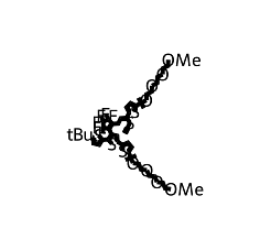 C#CS/C(=C\CC1=C(c2cc(-c3ccc(C(C)(C)OCCOCCOCCOC)s3)sc2-c2ccc(C(C)(C)C)s2)C(F)(F)C(F)(F)C1(F)F)c1ccc(C(C)(C)OCCOCCOCCOC)s1